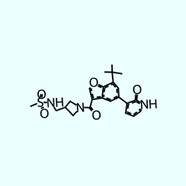 CC(C)(C)c1cc(-c2ccc[nH]c2=O)cc2c(C(=O)N3CC(CNS(C)(=O)=O)C3)coc12